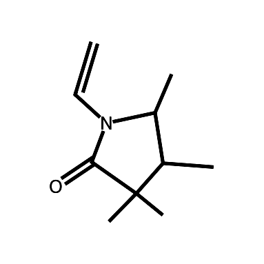 C=CN1C(=O)C(C)(C)C(C)C1C